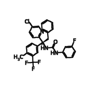 Cc1ccc([C@@](Cc2ccccc2)(NC(=O)Nc2cccc(F)c2)c2ccc(Cl)cn2)cc1C(F)(F)F